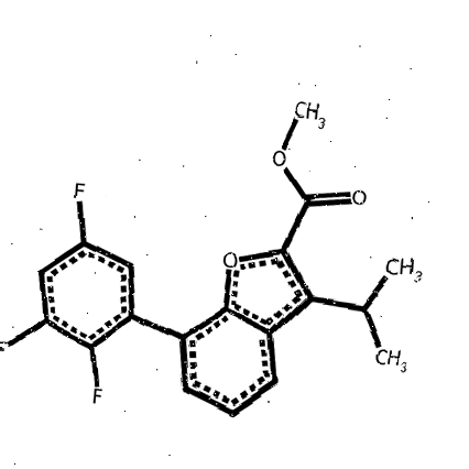 COC(=O)c1oc2c(-c3cc(F)cc(F)c3F)cccc2c1C(C)C